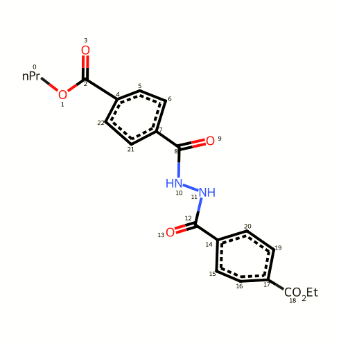 CCCOC(=O)c1ccc(C(=O)NNC(=O)c2ccc(C(=O)OCC)cc2)cc1